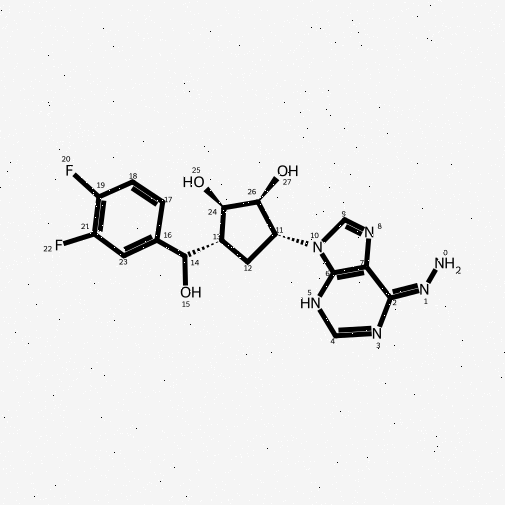 N/N=c1/nc[nH]c2c1ncn2[C@@H]1C[C@H](C(O)c2ccc(F)c(F)c2)[C@@H](O)[C@H]1O